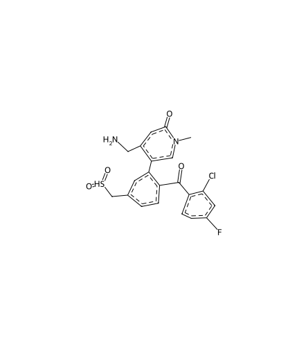 Cn1cc(-c2cc(C[SH](=O)=O)ccc2C(=O)c2ccc(F)cc2Cl)c(CN)cc1=O